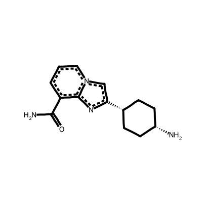 NC(=O)c1cccn2cc([C@H]3CC[C@@H](N)CC3)nc12